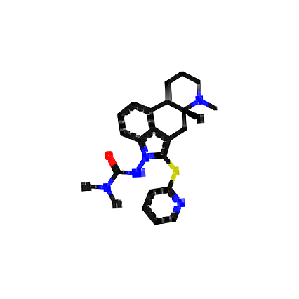 CCN(CC)C(=O)Nn1c(Sc2ccccn2)c2c3c(cccc31)C1=CCCN(C)[C@@H]1C2